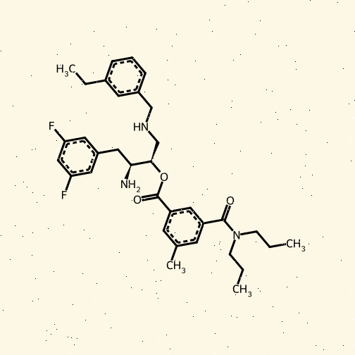 CCCN(CCC)C(=O)c1cc(C)cc(C(=O)O[C@H](CNCc2cccc(CC)c2)[C@@H](N)Cc2cc(F)cc(F)c2)c1